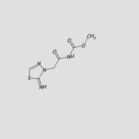 COC(=O)NC(=O)Cn1ncsc1=N